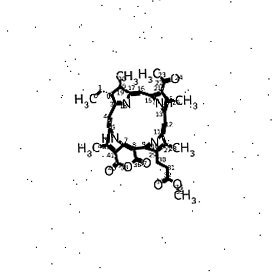 CC[C@H]1c2cc3[nH]c4c(c5nc(cc6[nH]c(cc(n2)[C@@H]1C)c(C(C)=O)c6C)C(C)=C5CCC(=O)OC)C(=O)OC(=O)c4c3C